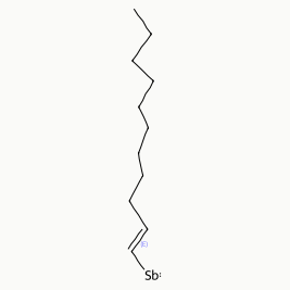 CCCCCCCCC/C=[CH]/[Sb]